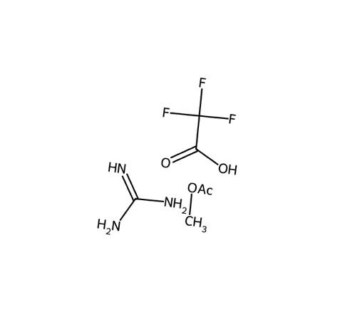 COC(C)=O.N=C(N)N.O=C(O)C(F)(F)F